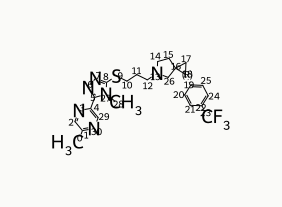 Cc1cnc(-c2nnc(SCCCN3CCC4(C[C@@H]4c4ccc(C(F)(F)F)cc4)C3)n2C)cn1